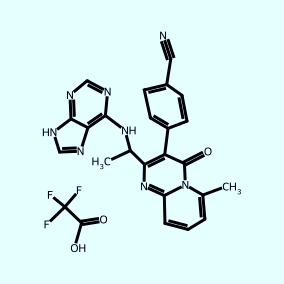 Cc1cccc2nc(C(C)Nc3ncnc4[nH]cnc34)c(-c3ccc(C#N)cc3)c(=O)n12.O=C(O)C(F)(F)F